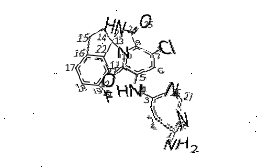 Nc1cc(Nc2cc(Cl)c3n(c2=O)C2(CCc4ccc(F)cc42)NC3=O)ncn1